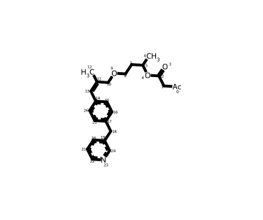 CC(=O)CC(=O)OC(C)CCOCC(C)=Cc1ccc(Cc2cccnc2)cc1